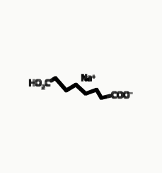 O=C([O-])CCCCCCC(=O)O.[Na+]